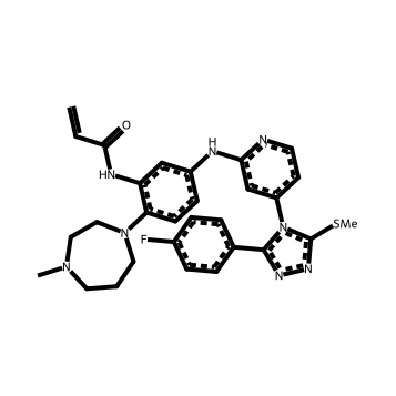 C=CC(=O)Nc1cc(Nc2cc(-n3c(SC)nnc3-c3ccc(F)cc3)ccn2)ccc1N1CCCN(C)CC1